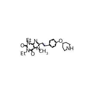 CCn1c(=O)c2c(nc(/C=C/c3ccc(OC4CCNCC4)cc3)n2C)n(CC)c1=O